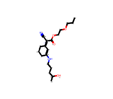 CCCOCCOC(=O)/C(C#N)=C1\C=C(NCCCC(C)O)CCC1